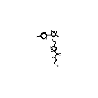 Cc1onc(-c2ccc(F)cn2)c1COc1cc(C(=O)NCCO)on1